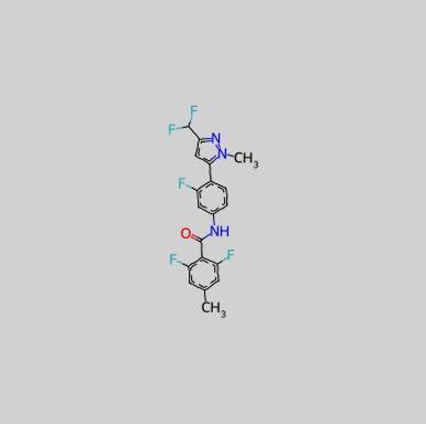 Cc1cc(F)c(C(=O)Nc2ccc(-c3cc(C(F)F)nn3C)c(F)c2)c(F)c1